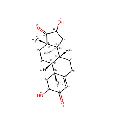 C[C@]12CC(O)C(=O)C=C1CC[C@@H]1[C@H]2CC[C@]2(C)C(=O)C(O)C[C@@H]12